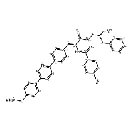 CCCCCCCOc1ccc(-c2cnc(-c3ccc(C[C@H](NC(=O)c4ccc(C(C)(C)C)cc4)C(=O)NCC(Cc4cccnc4)C(=O)O)cc3)nc2)cc1